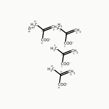 C=C(C)C(=O)[O-].C=C(C)C(=O)[O-].C=C(C)C(=O)[O-].C=C(C)C(=O)[O-].[Zr+4]